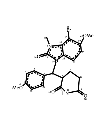 COc1ccc(C(C2CCC(=O)NC2=O)n2c(=O)n(C)c3c(Br)c(OC)ccc32)cc1